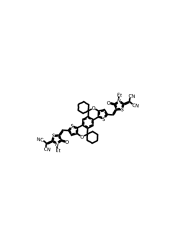 CCn1c(=C(C#N)C#N)s/c(=C/c2cc3c(s2)-c2cc4c(cc2C2(CCCCC2)O3)-c2sc(/C=c3/sc(=C(C#N)C#N)n(CC)c3=O)cc2OC42CCCCC2)c1=O